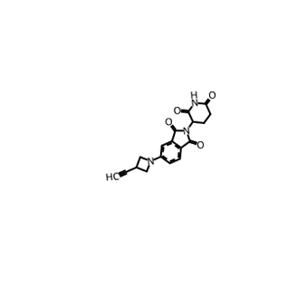 C#CC1CN(c2ccc3c(c2)C(=O)N(C2CCC(=O)NC2=O)C3=O)C1